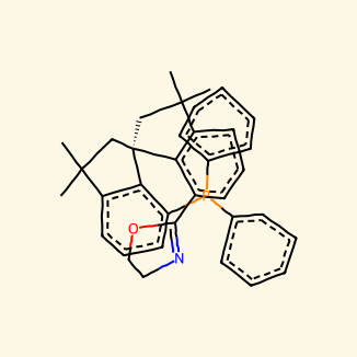 CC1(C)C[C@]2(CC(C)(C)c3cccc(P(c4ccccc4)c4ccccc4)c32)c2c(C3=NCCO3)cccc21